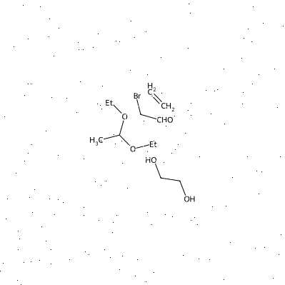 C=C.CCOC(C)OCC.O=CCBr.OCCO